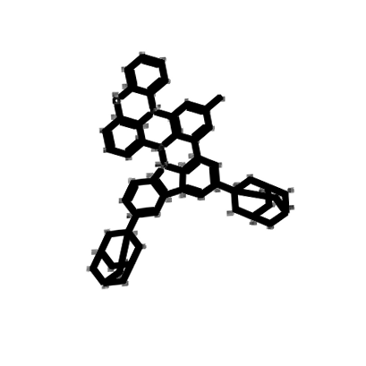 Cc1cc2c3c(c1)N1c4ccccc4Oc4cccc(c41)B3n1c3ccc(C45CC6CC(CC(C6)C4)C5)cc3c3cc(C45CC6CC(CC(C6)C4)C5)cc-2c31